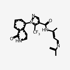 C=C(C)/N=C\C=C(/C)NC(=O)c1cnn(-c2cccc3c(=O)[nH]ccc23)c1C(F)(F)F